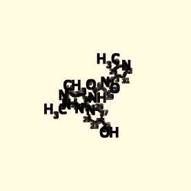 Cc1cc(-c2nc(C(=O)Nc3cc4c(C)nn(C)c4nc3N3CCC(CO)CC3)co2)ccn1